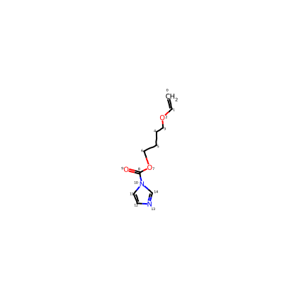 C=COCCCCOC(=O)n1ccnc1